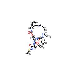 C=C[C@@H]1C[C@]1(NC(=O)[C@@H]1C[C@@H]2CN1C(=O)[C@H](C1CCCC1)NC(C)CCCC/C=C/c1cccc3c1CN(C3)C(=O)O2)C(=O)NSC1CC1